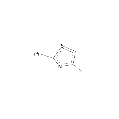 CC(C)c1nc(I)cs1